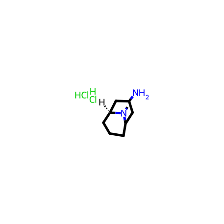 CN1C2CCC[C@H]1CC(N)C2.Cl.Cl